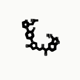 CNCc1nccn1-c1ccc(N2CC(CNC(=O)c3ccc4onc(N)c4c3)CC2=O)cc1F